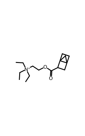 CC[N+](CC)(CC)CCOC(=O)C1CC23CCC12C3